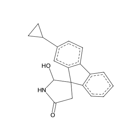 O=C1CC2(c3ccccc3-c3ccc(C4CC4)cc32)C(O)N1